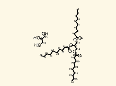 CCCCCCCCCC(=O)OCC(COC(=O)CCCCCCCCC)OC(=O)CCCCCCCCC.OCC(O)CO